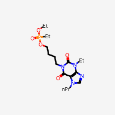 CCCn1cnc2c1c(=O)n(CCCCOP(=O)(CC)OCC)c(=O)n2CC